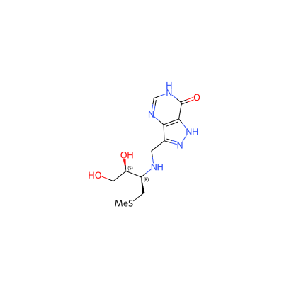 CSC[C@H](NCc1n[nH]c2c(=O)[nH]cnc12)[C@H](O)CO